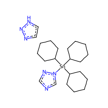 c1c[nH]nn1.c1nc[n]([Sn]([CH]2CCCCC2)([CH]2CCCCC2)[CH]2CCCCC2)n1